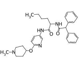 CCCCC(NC(=O)C(c1ccccc1)c1ccccc1)C(=O)Nc1ccc(OC2CCN(C)CC2)nc1